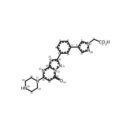 O=C(O)Cn1cc(-c2cccc(-c3nn4c(=O)cc(N5CCNCC5)nc4s3)c2)cn1